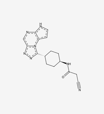 N#CCC(=O)N[C@H]1CC[C@H](c2nnc3cnc4[nH]ccc4n32)CC1